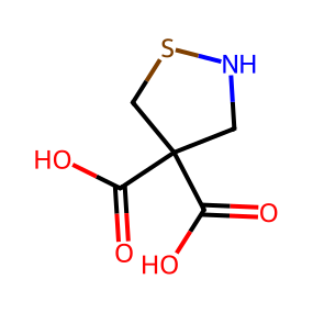 O=C(O)C1(C(=O)O)CNSC1